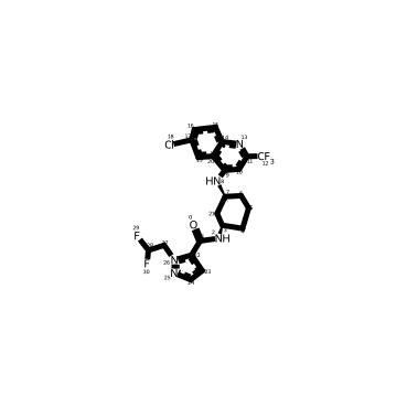 O=C(N[C@@H]1CCC[C@H](Nc2cc(C(F)(F)F)nc3ccc(Cl)cc23)C1)c1ccnn1CC(F)F